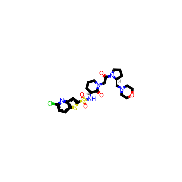 O=C1[C@@H](NS(=O)(=O)c2cc3nc(Cl)ccc3s2)CCCN1CC(=O)N1CCC[C@H]1CN1CCOCC1